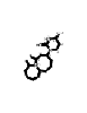 CC1CCCCC2CCCC(N3CCC(=O)NC3=O)CC(C)N12